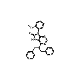 COc1cc[c]cc1-n1c(=O)[nH]c2c(N(Cc3ccccc3)Cc3ccccc3)ncnc21